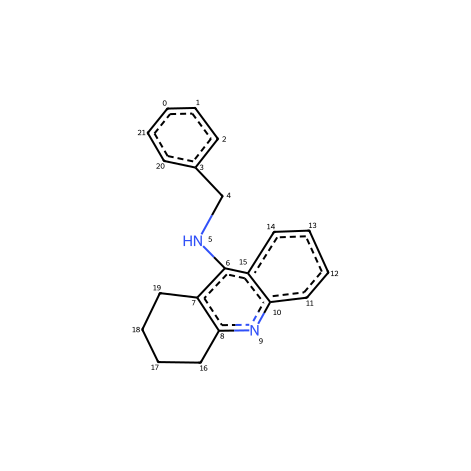 c1ccc(CNc2c3c(nc4ccccc24)CCCC3)cc1